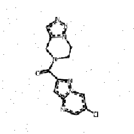 O=C(c1cc2ncc(Cl)cn2n1)N1CCn2nncc2C1